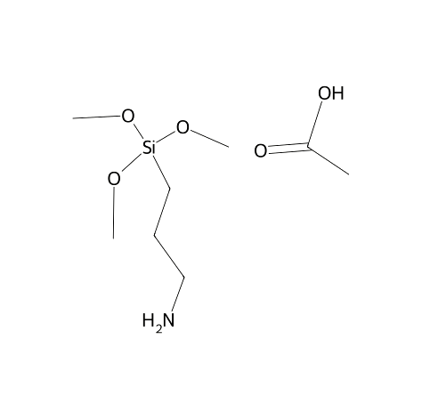 CC(=O)O.CO[Si](CCCN)(OC)OC